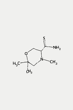 CN1CC(C)(C)OCC1C(N)=S